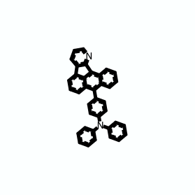 c1ccc(N(c2ccccc2)c2ccc(-c3c4ccccc4c4c5c(cccc35)-c3cccnc3-4)cc2)cc1